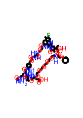 CC[C@@]1(O)C(=O)OCc2c1cc1n(c2=O)Cc2c-1nc1cc(F)c(C)c3c1c2[C@@H](NC(=O)COCNC(=O)CNC(=O)OCc1ccc(NC(=O)[C@H](CCCNC(N)=O)NC(=O)[C@@H](NC(=O)[C@@H](CCC(=O)O)NC(=O)CCOCCOCCOCCOCCNC(=O)COC2C#CCCCCC2)C(C)C)cc1)CC3